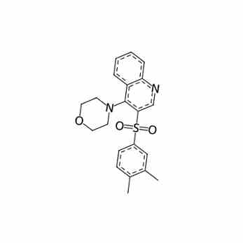 Cc1ccc(S(=O)(=O)c2cnc3ccccc3c2N2CCOCC2)cc1C